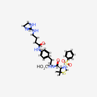 CC1(C)SCN(S(=O)(=O)c2ccccc2)[C@@H]1C(=O)N[C@@H](Cc1ccc(NC(=O)CCCNC2=NCCN2)cc1)C(=O)O